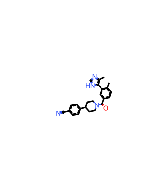 Cc1ccc(C(=O)N2CCC(c3ccc(C#N)cc3)CC2)cc1-c1[nH]cnc1C